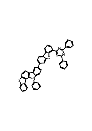 c1ccc(-c2nc(-c3ccccc3)nc(-c3cccc4c3oc3cc(-c5ccc6c(c5)c5ccc7sc8ccccc8c7c5n6-c5ccccc5)ccc34)n2)cc1